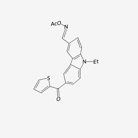 CCn1c2ccc(/C=N/OC(C)=O)cc2c2cc(C(=O)c3cccs3)ccc21